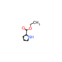 C[CH]OC(=O)c1ccc[nH]1